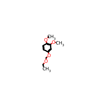 CCOCOc1ccc(OC)c(OC)c1